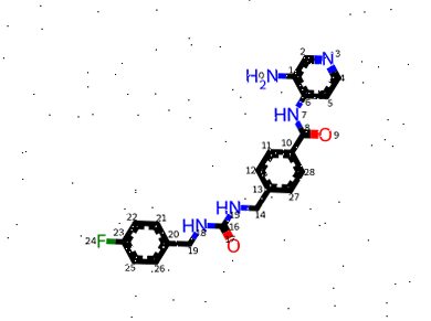 Nc1cnccc1NC(=O)c1ccc(CNC(=O)NCc2ccc(F)cc2)cc1